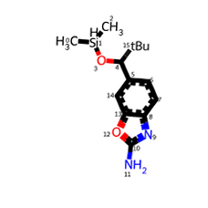 C[SiH](C)OC(c1ccc2nc(N)oc2c1)C(C)(C)C